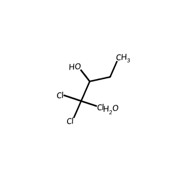 CCC(O)C(Cl)(Cl)Cl.O